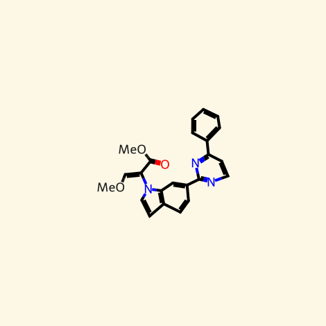 CO/C=C(/C(=O)OC)n1ccc2ccc(-c3nccc(-c4ccccc4)n3)cc21